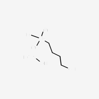 CC(C)[PH](CCCCO)(C(C)C)C(C)C.O=S(=O)(O)O